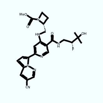 COC(=O)N1CC[C@@H]1CNc1cc(-c2ccc3cc(C#N)cnn23)ncc1C(=O)NC[C@@H](F)C(C)(C)O